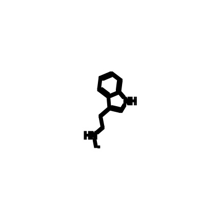 [CH2]NCCc1c[nH]c2ccccc12